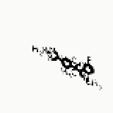 CC(C)C(C)(c1ccc(-c2cnc(N)nc2)cc1)c1cn(C)c2ccc(F)cc12